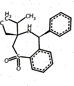 CC[C@]1(C(C)C)CS(=O)(=O)c2ccccc2[C@H](c2ccccc2)N1